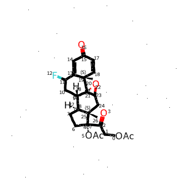 CC(=O)OCC(=O)[C@@]1(OC(C)=O)CC[C@H]2[C@@H]3CC(F)C4=CC(=O)C=C[C@]4(C)[C@]34OC4C[C@@]21C